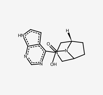 O=C(O)N1C2CC[C@H]1CN(c1ncnc3[nH]ccc13)C2